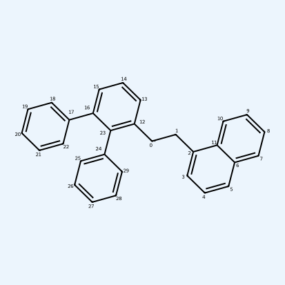 [CH](Cc1cccc2ccccc12)c1cccc(-c2ccccc2)c1-c1ccccc1